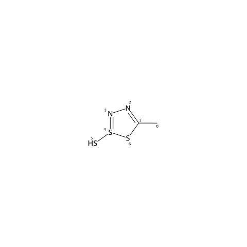 CC1=NN=S(S)S1